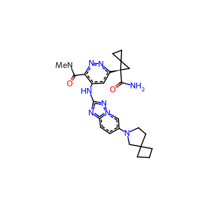 CNC(=O)c1nnc([C@]2(C(N)=O)CC23CC3)cc1Nc1nc2ccc(N3CCC4(CCC4)C3)cn2n1